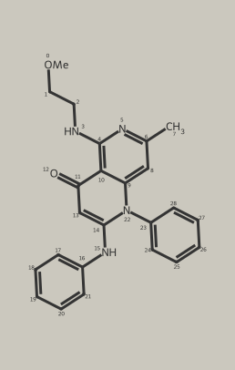 COCCNc1nc(C)cc2c1c(=O)cc(Nc1ccccc1)n2-c1ccccc1